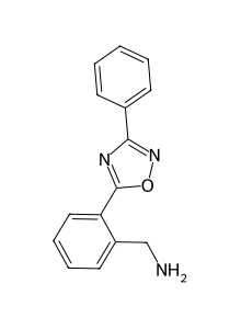 NCc1ccccc1-c1nc(-c2ccccc2)no1